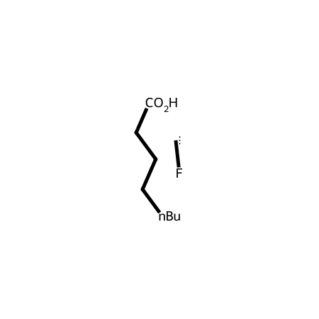 CCCCCCCC(=O)O.[C]F